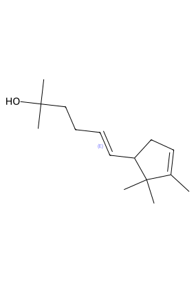 CC1=CCC(/C=C/CCC(C)(C)O)C1(C)C